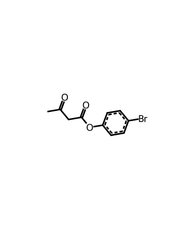 CC(=O)CC(=O)Oc1ccc(Br)cc1